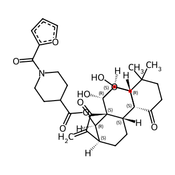 C=C1C(=O)[C@]23[C@H](OC(=O)C4CCN(C(=O)c5ccco5)CC4)[C@H]1CC[C@H]2[C@@]12CO[C@@]3(O)[C@@H](O)[C@@H]1C(C)(C)CCC2=O